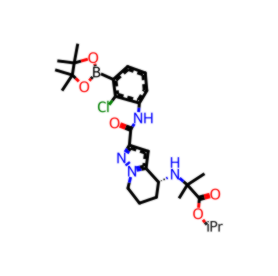 CC(C)OC(=O)C(C)(C)N[C@@H]1CCCn2nc(C(=O)Nc3cccc(B4OC(C)(C)C(C)(C)O4)c3Cl)cc21